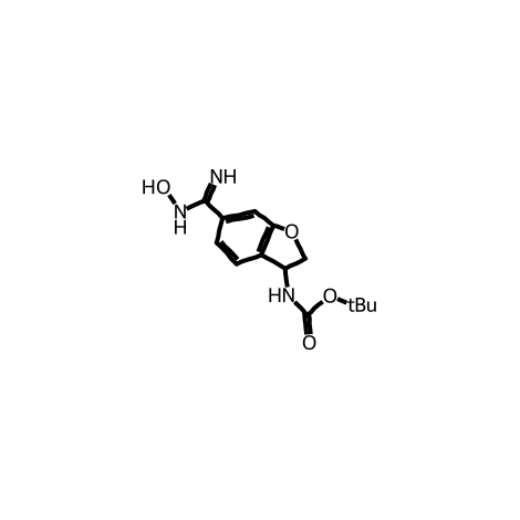 CC(C)(C)OC(=O)NC1COc2cc(C(=N)NO)ccc21